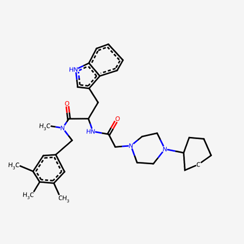 Cc1cc(CN(C)C(=O)C(Cc2c[nH]c3ccccc23)NC(=O)CN2CCN(C3CCCCC3)CC2)cc(C)c1C